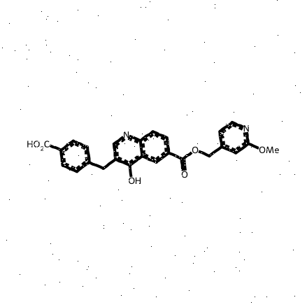 COc1cc(COC(=O)c2ccc3ncc(Cc4ccc(C(=O)O)cc4)c(O)c3c2)ccn1